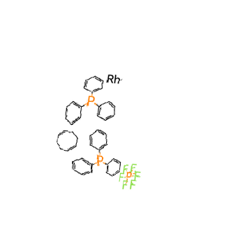 C1=C\CC/C=C\CC/1.F[P-](F)(F)(F)(F)F.[Rh].c1ccc(P(c2ccccc2)c2ccccc2)cc1.c1ccc(P(c2ccccc2)c2ccccc2)cc1